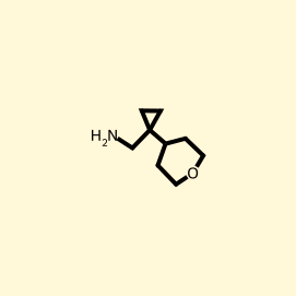 NCC1(C2CCOCC2)CC1